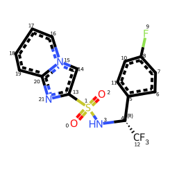 O=S(=O)(N[C@H](c1ccc(F)cc1)C(F)(F)F)c1cn2ccccc2n1